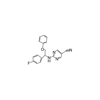 N#Cc1cnc(NC(COc2ccccc2)c2ccc(F)cc2)nc1